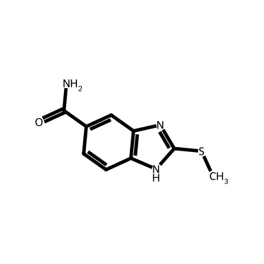 CSc1nc2cc(C(N)=O)ccc2[nH]1